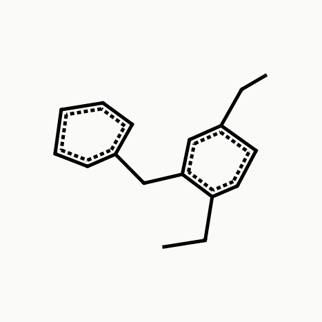 CCc1ccc(CC)c(Cc2ccccc2)c1